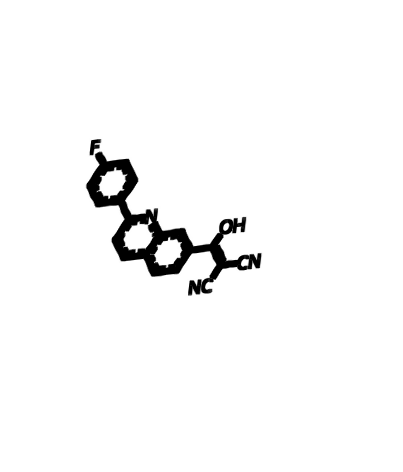 N#CC(C#N)=C(O)c1ccc2ccc(-c3ccc(F)cc3)nc2c1